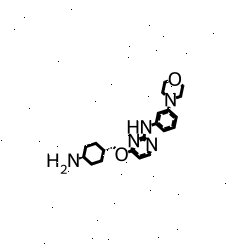 N[C@H]1CC[C@H](COc2ccnc(Nc3cccc(N4CCOCC4)c3)n2)CC1